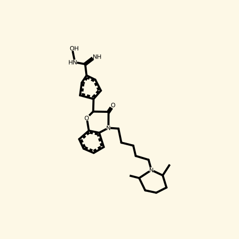 CC1CCCC(C)N1CCCCCN1C(=O)C(c2ccc(C(=N)NO)cc2)Oc2ccccc21